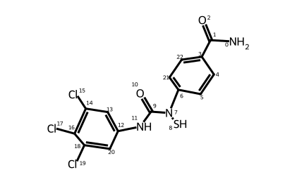 NC(=O)c1ccc(N(S)C(=O)Nc2cc(Cl)c(Cl)c(Cl)c2)cc1